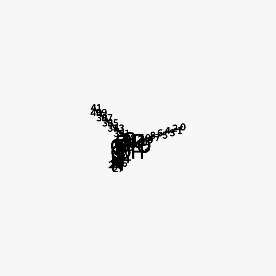 CCCCCCCCCC=CC(=O)OCC(COP(=O)(O)OCC[N+](C)(C)C)OC(=O)C=CCCCCCCCCC